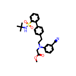 COC(=O)CN(CCc1ccc(-c2ccccc2S(=O)(=O)NC(C)(C)C)cc1)c1cccc(C#N)c1